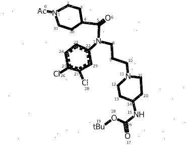 CC(=O)N1CCC(C(=O)N(CCCN2CCC(NC(=O)OC(C)(C)C)CC2)c2ccc(Cl)c(Cl)c2)CC1